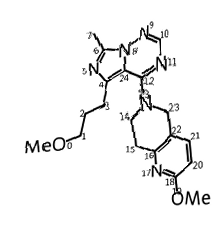 COCCCc1nc(C)n2ncnc(N3CCc4nc(OC)ccc4C3)c12